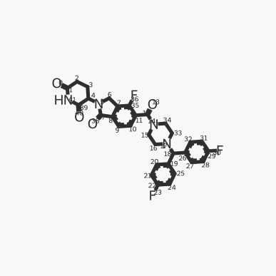 O=C1CCC(N2Cc3c(ccc(C(=O)N4CCN(C(c5ccc(F)cc5)c5ccc(F)cc5)CC4)c3F)C2=O)C(=O)N1